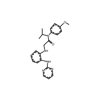 COc1ccc(N(C(=O)CNc2ccccc2Nc2ncccn2)C(C)C)cc1